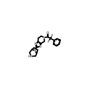 O=C(N1CCc2nc(N3C4CCC3CNC4)sc2C1)C(F)(F)c1ccccc1